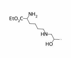 [CH2]C(O)CNCCCCC(N)C(=O)OCC